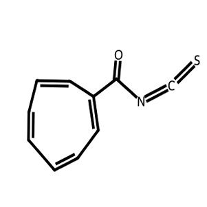 O=C(N=C=S)C1=C/C=C\C=C/C=C\1